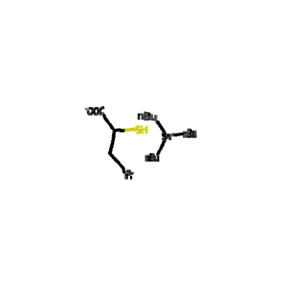 CC(C)CC(S)C(=O)[O-].CCC[CH2][Sn+]([CH2]CCC)[CH2]CCC